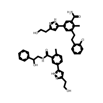 Cc1c(CCc2ccccc2Cl)cc(-c2cc(CCO)n[nH]2)cc1C(N)=O.Cc1ccc(-c2cc(CCO)n[nH]2)cc1C(=O)NCC(O)c1ccccc1